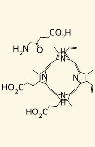 C=CC1=C(C)c2cc3[nH]c(cc4nc(cc5[nH]c(cc1n2)c(C)c5CCC(=O)O)C(CCC(=O)O)=C4C)c(C)c3C=C.NCC(=O)CCC(=O)O